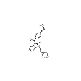 Cc1c(C(=O)C2C=CC(=C=NO)C=C2)c2ccccc2n1CCN1CCOCC1